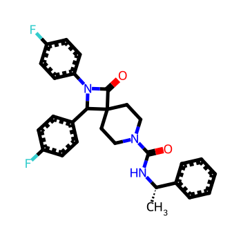 C[C@H](NC(=O)N1CCC2(CC1)C(=O)N(c1ccc(F)cc1)C2c1ccc(F)cc1)c1ccccc1